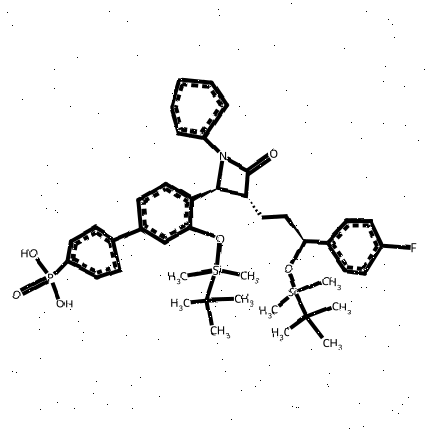 CC(C)(C)[Si](C)(C)Oc1cc(-c2ccc(P(=O)(O)O)cc2)ccc1[C@@H]1[C@@H](CC[C@H](O[Si](C)(C)C(C)(C)C)c2ccc(F)cc2)C(=O)N1c1ccccc1